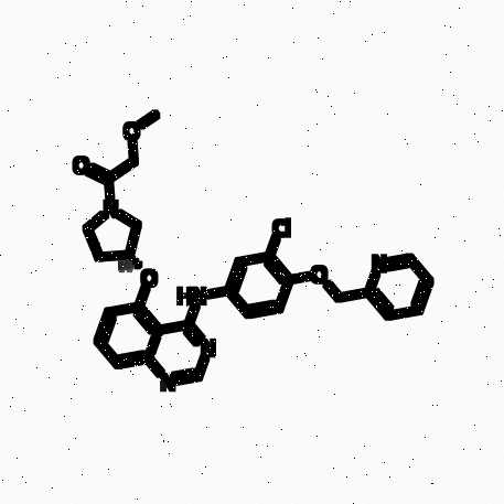 COCC(=O)N1CC[C@@H](Oc2cccc3ncnc(Nc4ccc(OCc5ccccn5)c(Cl)c4)c23)C1